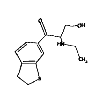 CCNC(CO)C(=O)c1ccc2c(c1)SCC2